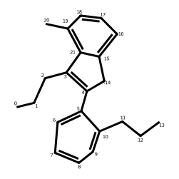 CCCC1=C(c2ccccc2CCC)[CH]c2cccc(C)c21